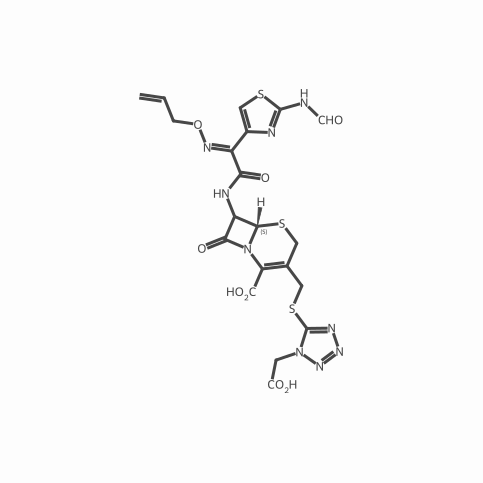 C=CCON=C(C(=O)NC1C(=O)N2C(C(=O)O)=C(CSc3nnnn3CC(=O)O)CS[C@@H]12)c1csc(NC=O)n1